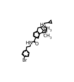 C[C@@H]1[C@H]2Cc3ccc(C(=O)NCCc4ccc(Br)cc4)cc3[C@]1(C)CCN2CC1CC1